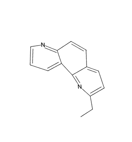 CCc1ccc2ccc3ncccc3c2n1